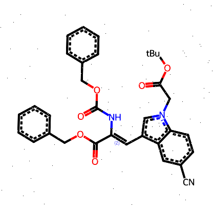 CC(C)(C)OC(=O)Cn1cc(/C=C(\NC(=O)OCc2ccccc2)C(=O)OCc2ccccc2)c2cc(C#N)ccc21